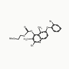 CCc1nc2ccc(Oc3ccccc3Br)c(C)c2c(OC(=O)OCCOC)c1C